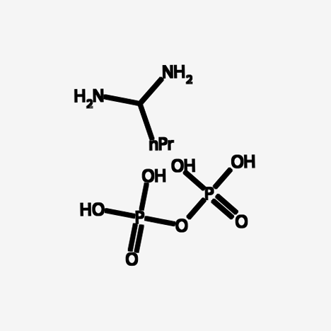 CCCC(N)N.O=P(O)(O)OP(=O)(O)O